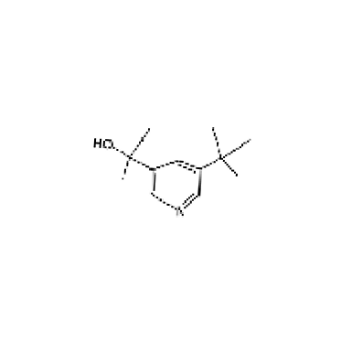 CC(C)(C)c1cncc(C(C)(C)O)c1